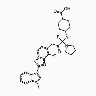 Cn1cc(-c2nc3ccc(CC(=O)C(F)(NC4CCC(C(=O)O)CC4)N4CCCC4)c(F)c3o2)c2ccccc21